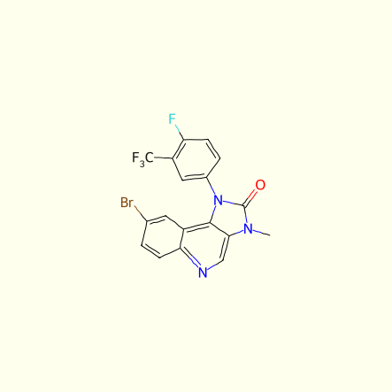 Cn1c(=O)n(-c2ccc(F)c(C(F)(F)F)c2)c2c3cc(Br)ccc3ncc21